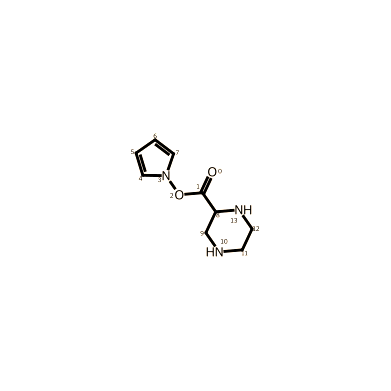 O=C(On1cccc1)C1CNCCN1